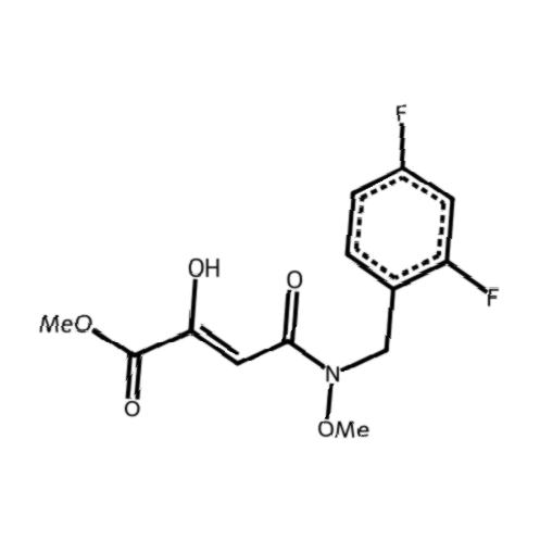 COC(=O)C(O)=CC(=O)N(Cc1ccc(F)cc1F)OC